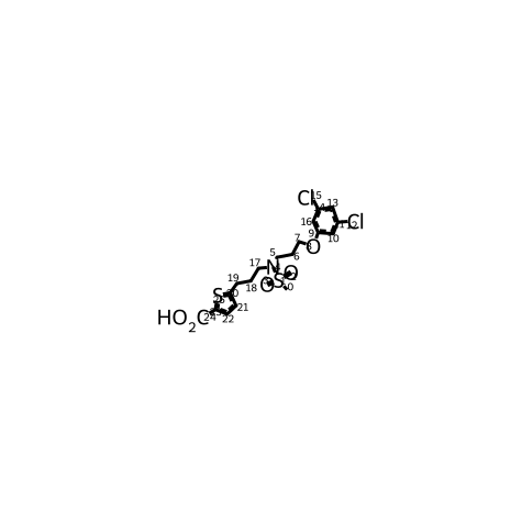 CS(=O)(=O)N(CCCOc1cc(Cl)cc(Cl)c1)CCCc1ccc(C(=O)O)s1